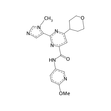 COc1ccc(NC(=O)c2cc(C3CCOCC3)nc(-c3cncn3C)n2)cn1